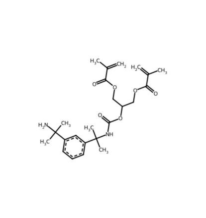 C=C(C)C(=O)OCC(COC(=O)C(=C)C)OC(=O)NC(C)(C)c1cccc(C(C)(C)N)c1